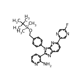 CC(C)(C)[Si](C)(C)OCc1ccc(-n2c(-c3cccnc3N)nc3ccc(-c4cnc(F)cn4)nc32)cc1